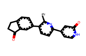 CC(C)c1nc(-c2cc[nH]c(=O)c2)ccc1-c1ccc2c(c1)C(=O)CC2